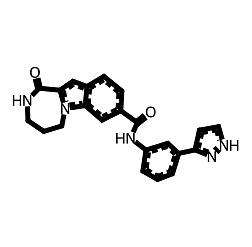 O=C(Nc1cccc(-c2cc[nH]n2)c1)c1ccc2cc3n(c2c1)CCCNC3=O